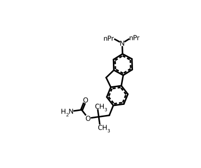 CCCN(CCC)c1ccc2c(c1)Cc1cc(CC(C)(C)OC(N)=O)ccc1-2